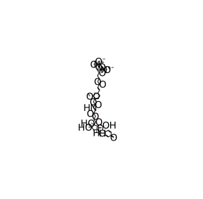 COc1cc(/C=C/C(=O)OCCC(CO[N+](=O)[O-])O[N+](=O)[O-])ccc1OC(=O)NCC(=O)OCC(=O)[C@@]1(O)[C@H](O)C[C@H]2[C@@H]3CCC4=CC(=O)C=C[C@]4(C)[C@@]3(F)[C@@H](O)C[C@@]21C